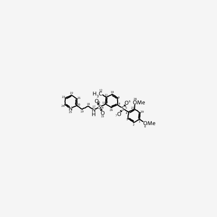 COc1ccc(S(=O)(=O)c2ccc(C)c(S(=O)(=O)NCCc3ccccn3)c2)c(OC)c1